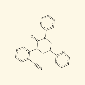 N#Cc1ccccc1C1CC(c2ccccn2)CN(c2ccccc2)C1=O